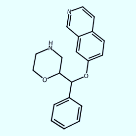 c1ccc(C(Oc2ccc3ccncc3c2)C2CNCCO2)cc1